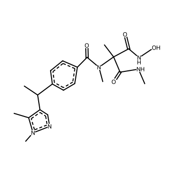 CNC(=O)C(C)(C(=O)NO)N(C)C(=O)c1ccc(C(C)c2cnn(C)c2C)cc1